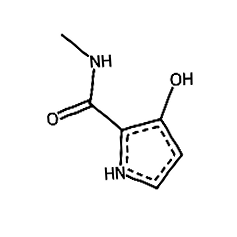 CNC(=O)c1[nH]ccc1O